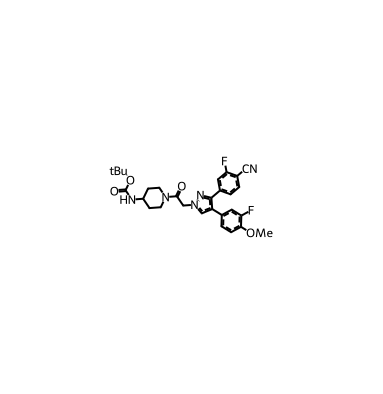 COc1ccc(-c2cn(CC(=O)N3CCC(NC(=O)OC(C)(C)C)CC3)nc2-c2ccc(C#N)c(F)c2)cc1F